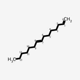 C=CCCCCCC=CCCCCCC